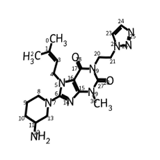 CC(C)=CCn1c(N2CCCC(N)C2)nc2c1c(=O)n(CCn1ccnn1)c(=O)n2C